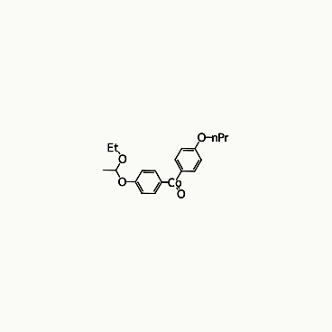 CCCOc1cc[c]([Co](=[O])[c]2ccc(OC(C)OCC)cc2)cc1